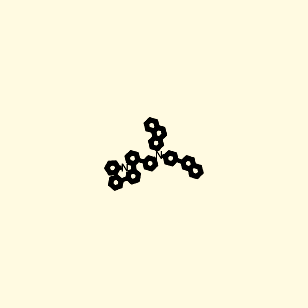 c1ccc(-c2cccc3c4c(-c5cccc(N(c6ccc(-c7ccc8ccccc8c7)cc6)c6ccc7c(ccc8ccccc87)c6)c5)cccc4n(-c4ccccc4)c23)cc1